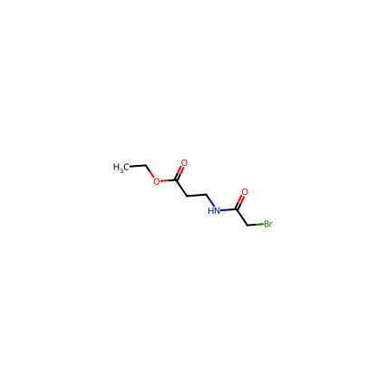 CCOC(=O)CCNC(=O)CBr